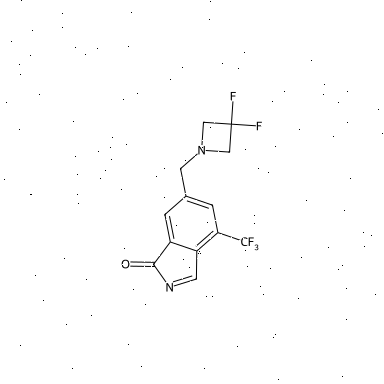 O=C1N=Cc2c1cc(CN1CC(F)(F)C1)cc2C(F)(F)F